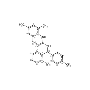 Cc1cc(C)c(NC(=O)NC(c2ccc(C(F)(F)F)cc2)c2ncccc2C(F)(F)F)c(C)c1